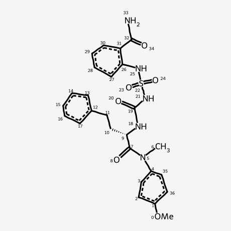 COc1ccc(N(C)C(=O)[C@H](CCc2ccccc2)NC(=O)NS(=O)(=O)Nc2ccccc2C(N)=O)cc1